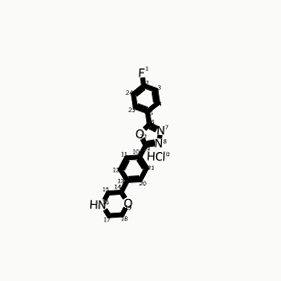 Cl.Fc1ccc(-c2nnc(-c3ccc(C4CNCCO4)cc3)o2)cc1